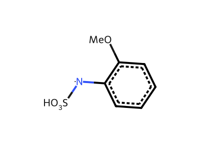 COc1ccccc1[N]S(=O)(=O)O